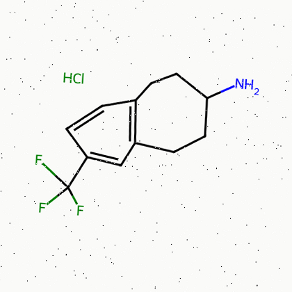 Cl.NC1CCc2ccc(C(F)(F)F)cc2CC1